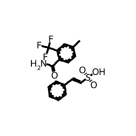 Cc1ccc(C(N)=O)c(C(F)(F)F)c1.O=S(=O)(O)/C=C/c1ccccc1